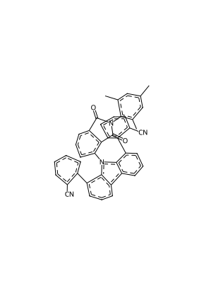 Cc1cc(C)c(N2C(=O)c3cccc(-n4c5c(-c6ccccc6C#N)cccc5c5cccc(-c6ccccc6C#N)c54)c3C2=O)c(C)c1